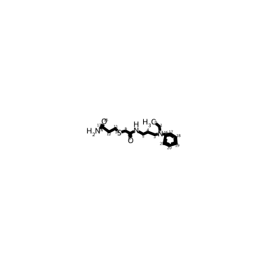 CCN(CCCNC(=O)CSCCC(N)=O)c1ccccc1